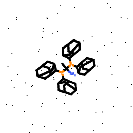 CC(N)(P(C1C2CC3CC(C2)CC1C3)C1C2CC3CC(C2)CC1C3)P(C1C2CC3CC(C2)CC1C3)C1C2CC3CC(C2)CC1C3